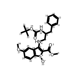 COC(=O)c1c(NCC(Cc2ccccc2)NC(=O)OC(C)(C)C)c2cc(OC)ccc2[s+]1[O-]